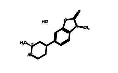 C[C@@H]1CC(c2ccc3c(c2)oc(=O)n3C)CCN1.Cl